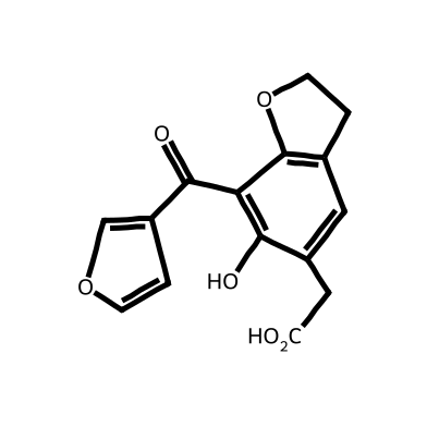 O=C(O)Cc1cc2c(c(C(=O)c3ccoc3)c1O)OCC2